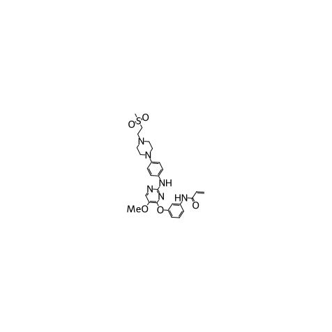 C=CC(=O)Nc1cccc(Oc2nc(Nc3ccc(N4CCN(CCS(C)(=O)=O)CC4)cc3)ncc2OC)c1